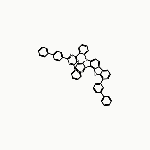 c1ccc(-c2ccc(-c3nc(-c4ccccc4)nc(-c4ccccc4-n4c5ccccc5c5c6oc7c(-c8cccc(-c9ccccc9)c8)cccc7c6ccc54)n3)cc2)cc1